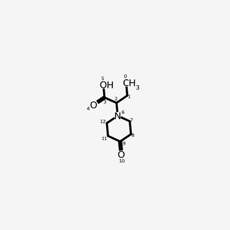 CCC(C(=O)O)N1CCC(=O)CC1